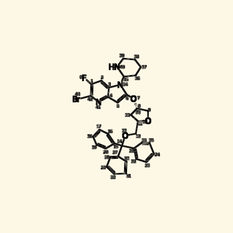 Fc1cc2c(cc(O[C@@H]3COC(COC(c4ccccc4)(c4ccccc4)c4ccccc4)C3)n2C2CCCCN2)nc1Br